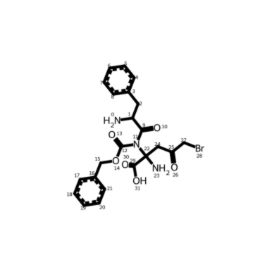 NC(Cc1ccccc1)C(=O)N(C(=O)OCc1ccccc1)C(N)(CC(=O)CBr)C(=O)O